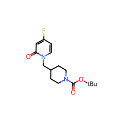 CC(C)(C)OC(=O)N1CCC(Cn2ccc(F)cc2=O)CC1